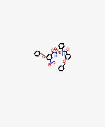 O=C(Nc1ccccc1S(=O)(=O)NC(=O)c1cc(OCc2ccccc2)cc([N+](=O)[O-])c1)c1cccc(OCc2ccccc2)c1